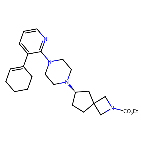 CCOC(=O)N1CC2(CC[C@@H](N3CCN(c4ncccc4C4=CCCCC4)CC3)C2)C1